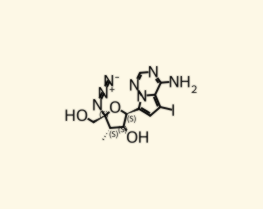 C[C@H]1[C@H](O)[C@H](c2cc(I)c3c(N)ncnn23)O[C@@]1(CO)N=[N+]=[N-]